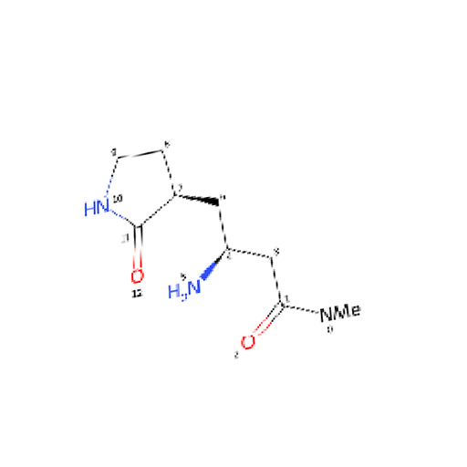 CNC(=O)C[C@@H](N)C[C@@H]1CCNC1=O